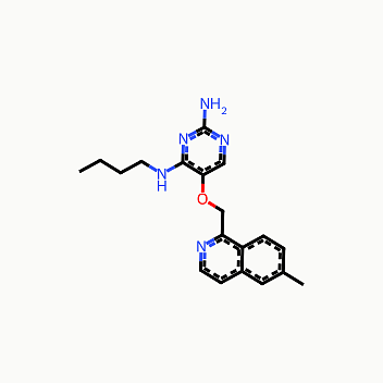 CCCCNc1nc(N)ncc1OCc1nccc2cc(C)ccc12